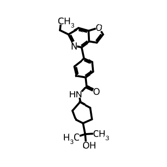 CCc1cc2occc2c(-c2ccc(C(=O)NC3CCC(C(C)(C)O)CC3)cc2)n1